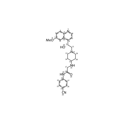 COc1ccc2nccc([C@@H](O)CN3CCC(NCC(=O)Nc4ccc(C#N)cc4)CC3)c2c1